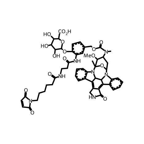 COC1C(N(C)C(=O)OCc2ccc(OC3OC(C(=O)O)C(O)C(O)C3O)c(NC(=O)CCNC(=O)CCCCCN3C(=O)C=CC3=O)c2)CC2OC1(C)N1c3ccccc3C3=C4CNC(=O)C4=C4c5ccccc5N2C4C31